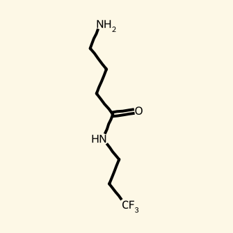 NCCCC(=O)NCCC(F)(F)F